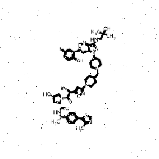 Cc1ncsc1-c1ccc([C@H](C)NC(=O)[C@@H]2C[C@@H](O)CN2C(=O)C(c2cc(N3CCC(CN4CCC(n5nc(NCC(C)(C)O)c6nnc(-c7cc(F)ccc7O)cc65)CC4)CC3)no2)C(C)C)cc1